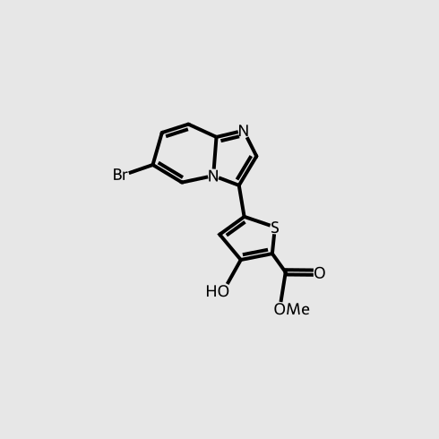 COC(=O)c1sc(-c2cnc3ccc(Br)cn23)cc1O